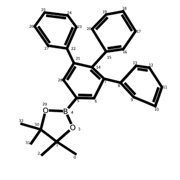 CC1(C)OB(c2cc(-c3ccccc3)c(-c3ccccc3)c(-c3ccccc3)c2)OC1(C)C